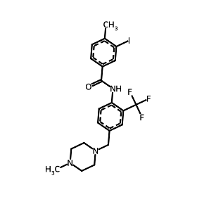 Cc1ccc(C(=O)Nc2ccc(CN3CCN(C)CC3)cc2C(F)(F)F)cc1I